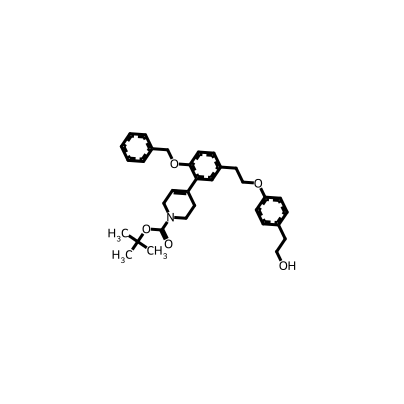 CC(C)(C)OC(=O)N1CC=C(c2cc(CCOc3ccc(CCO)cc3)ccc2OCc2ccccc2)CC1